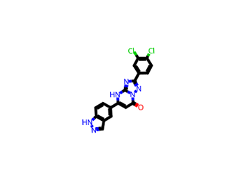 O=c1cc(-c2ccc3[nH]ncc3c2)[nH]c2nc(-c3ccc(Cl)c(Cl)c3)nn12